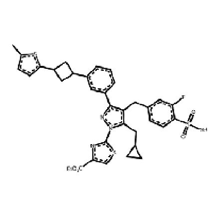 CCOC(=O)c1csc(-n2nc(-c3cccc(C4CC(c5ccc(C)s5)C4)c3)c(Cc3ccc(S(N)(=O)=O)c(F)c3)c2CC2CC2)n1